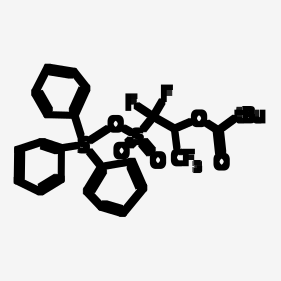 CC(C)(C)C(=O)OC(C(F)(F)F)C(F)(F)S(=O)(=O)OS(c1ccccc1)(c1ccccc1)c1ccccc1